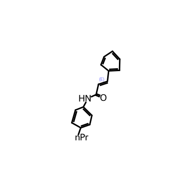 CCCc1ccc(NC(=O)/C=C/c2ccccc2)cc1